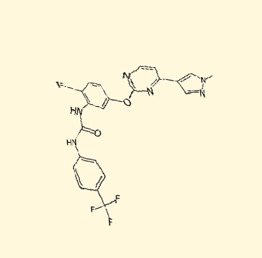 Cn1cc(-c2ccnc(Oc3ccc(F)c(NC(=O)Nc4ccc(C(F)(F)F)cc4)c3)n2)cn1